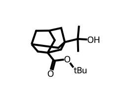 CC(C)(C)OC(=O)C12CC3CC(C1)CC(C(C)(C)O)(C3)C2